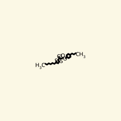 CCCCCCCc1cc2sc(C(=O)Oc3ccc(CCCC)cc3)c(Cl)c2s1